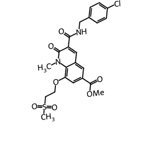 COC(=O)c1cc(OCCS(C)(=O)=O)c2c(c1)cc(C(=O)NCc1ccc(Cl)cc1)c(=O)n2C